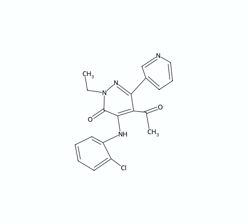 CCn1nc(-c2cccnc2)c(C(C)=O)c(Nc2ccccc2Cl)c1=O